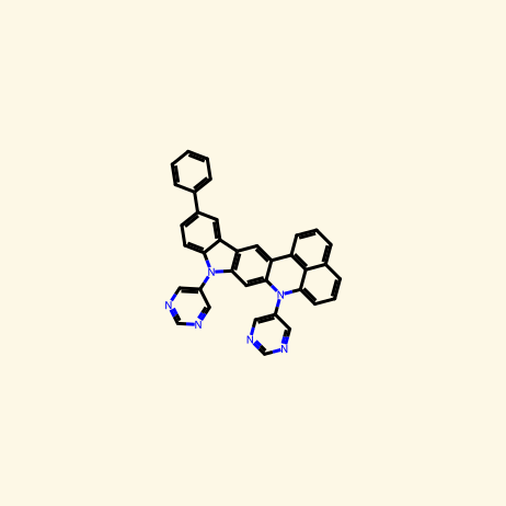 c1ccc(-c2ccc3c(c2)c2cc4c(cc2n3-c2cncnc2)N(c2cncnc2)c2cccc3cccc-4c23)cc1